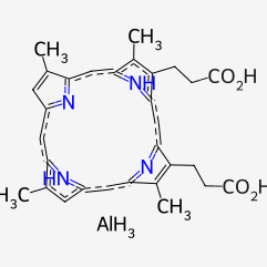 CC1=Cc2cc3[nH]c(cc4nc(cc5[nH]c(cc1n2)c(C)c5CCC(=O)O)C(CCC(=O)O)=C4C)cc3C.[AlH3]